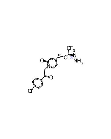 N/N=C(\OSc1ccn(CC(=O)c2ccc(Cl)cc2)c(=O)c1)C(F)(F)F